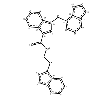 O=C(NCCc1nnc2ccccn12)c1nn(Cc2cccn3ccnc23)c2ccccc12